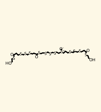 O=C(CCSCSCSCCC[S+]([O-])CCSCSCSCCSC(=O)CCSCSCSCCC(=O)SCCO)SCCO